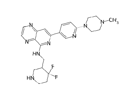 CN1CCN(c2ccc(-c3cc4nccnc4c(NCC4CNCCC4(F)F)n3)cn2)CC1